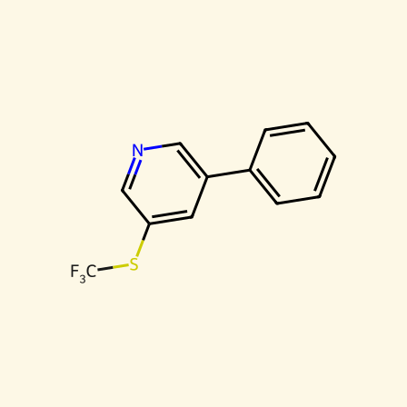 FC(F)(F)Sc1cncc(-c2ccccc2)c1